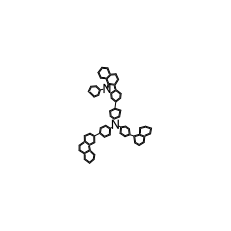 c1ccc(-n2c3cc(-c4ccc(N(c5ccc(-c6ccc7ccc8ccccc8c7c6)cc5)c5ccc(-c6cccc7ccccc67)cc5)cc4)ccc3c3ccc4ccccc4c32)cc1